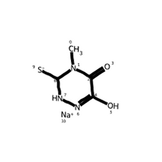 CN1C(=O)C(O)=NNC1[S-].[Na+]